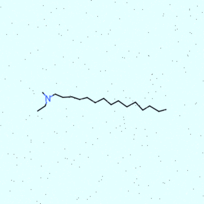 CCCCCCCCCCCCCCCN(C)CC